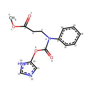 COC(=O)CCN(C(=O)Oc1cnc[nH]1)c1ccccc1